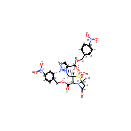 C[C@]1(Cn2nncc2C(=O)OCc2ccc([N+](=O)[O-])cc2)[C@H](C(=O)OCc2ccc([N+](=O)[O-])cc2)N2C(=O)C[C@H]2S1(=O)=O